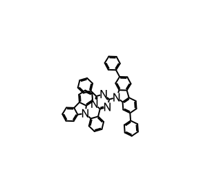 c1ccc(-c2ccc3c4ccc(-c5ccccc5)cc4n(-c4nc(-c5ccccc5)nc(-c5ccccc5-n5c6ccccc6c6ccccc65)n4)c3c2)cc1